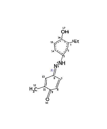 CCc1cc(N/N=C2\C=CC(=O)C(C)=C2)ccc1O